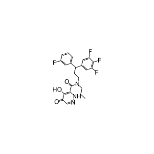 CCCN(CCC(c1cccc(F)c1)c1cc(F)c(F)c(F)c1)C(=O)c1[nH]ncc(=O)c1O